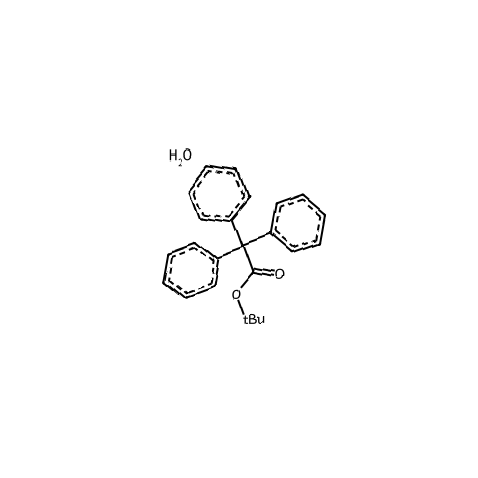 CC(C)(C)OC(=O)C(c1ccccc1)(c1ccccc1)c1ccccc1.O